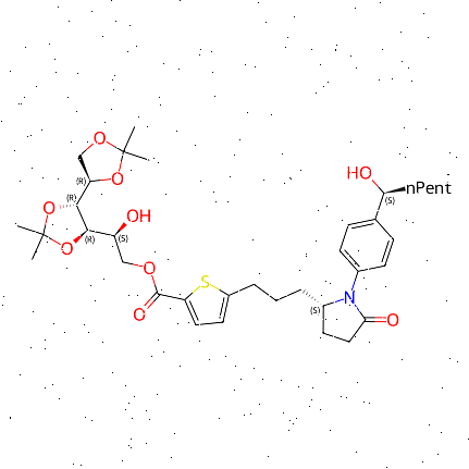 CCCCC[C@H](O)c1ccc(N2C(=O)CC[C@@H]2CCCc2ccc(C(=O)OC[C@H](O)[C@H]3OC(C)(C)O[C@@H]3[C@H]3COC(C)(C)O3)s2)cc1